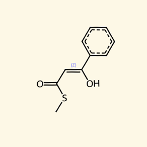 CSC(=O)/C=C(\O)c1ccccc1